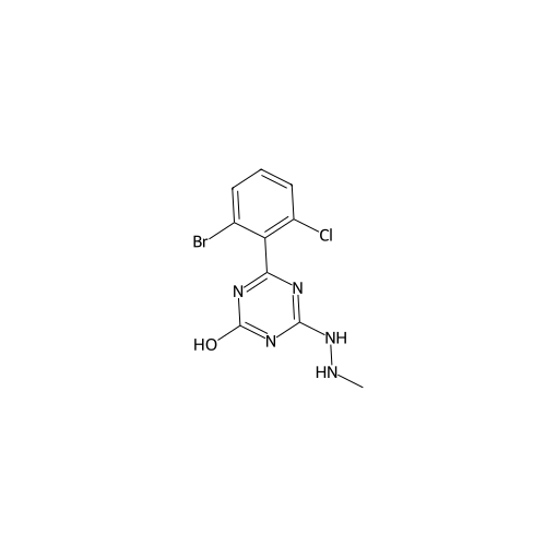 CNNc1nc(O)nc(-c2c(Cl)cccc2Br)n1